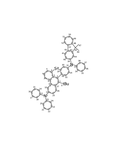 CC(C)(C)c1c2c3c(cccc3c3cc(N(c4ccccc4)c4ccccc4)ccc13)Sc1cc(N(c3ccccc3)c3ccc4c(c3)C(C)(C)c3ccccc3-4)ccc1-2